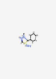 CN1N=CS(=N)C1C1CCCCC1